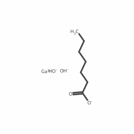 CCCCCCC(=O)[O-].[Ga+3].[OH-].[OH-]